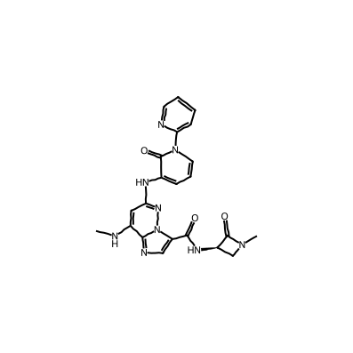 CNc1cc(Nc2cccn(-c3ccccn3)c2=O)nn2c(C(=O)N[C@@H]3CN(C)C3=O)cnc12